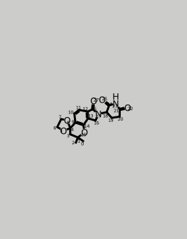 CC1(C)CC2(OCCO2)c2ccc3c(c2O1)CN(C1CCC(=O)NC1=O)C3=O